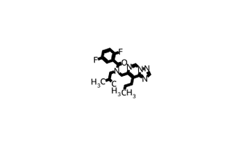 CCCc1c(CN(CC(C)C)C(=O)c2cc(F)ccc2F)ncn2ncnc12